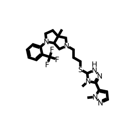 CN1C(c2ccnn2C)=NNC1SCCCN1CC2N(c3ccccc3C(F)(F)F)CCC2(C)C1